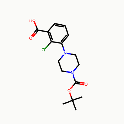 CC(C)(C)OC(=O)N1CCN(c2cccc(C(=O)O)c2Cl)CC1